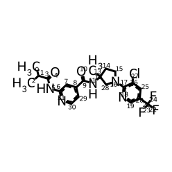 CC(C)C(=O)Nc1cc(C(=O)NC2(C)CCN(c3ncc(C(F)(F)F)cc3Cl)C2)ccn1